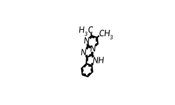 Cc1cn2c(nc1C)nc1c3ccccc3[nH]c12